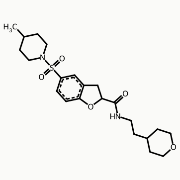 CC1CCN(S(=O)(=O)c2ccc3c(c2)CC(C(=O)NCCC2CCOCC2)O3)CC1